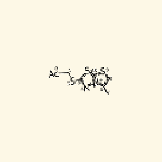 CC(=O)CSc1n[n+]2c(C)csc2s1